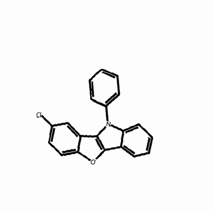 Clc1ccc2oc3c4ccccc4n(-c4ccccc4)c3c2c1